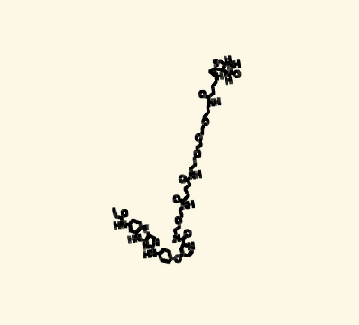 C=CC(=O)Nc1cccc(Nc2nc(Nc3ccc(Oc4ccnc(C(=O)N(C)CCOCCNC(=O)CCCC(=O)NCCCOCCOCCOCCCNC(=O)CCC[C@H]5CC56SC[C@@H]5NC(=O)N[C@@H]56)c4)cc3)ncc2F)c1